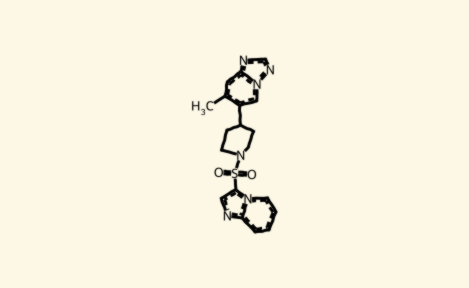 Cc1cc2ncnn2cc1C1CCN(S(=O)(=O)c2cnc3ccccn23)CC1